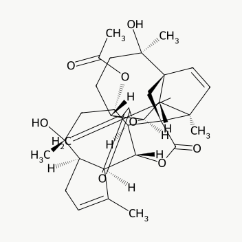 C=C1C(=O)O[C@@H]2[C@@H]3[C@@]4(C=C[C@@]3(C)[C@]3(C4)C(=O)O[C@@H]4[C@H]5C(C)=CC[C@H]5[C@](C)(O)C[C@H](OC(C)=O)[C@H]43)[C@](C)(O)CC[C@@H]12